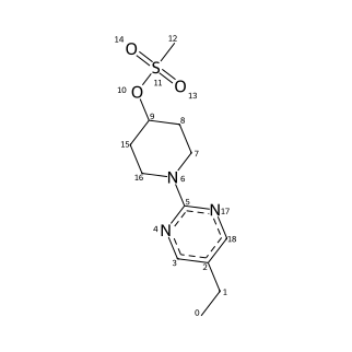 CCc1cnc(N2CCC(OS(C)(=O)=O)CC2)nc1